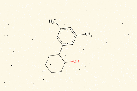 Cc1cc(C)cc(C2CCCCC2O)c1